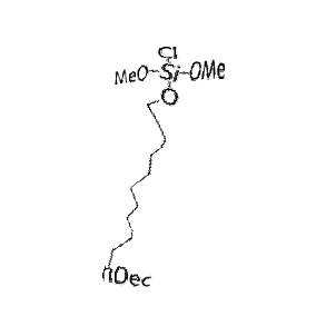 CCCCCCCCCCCCCCCCCCCO[Si](Cl)(OC)OC